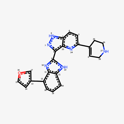 C1=C(c2ccc3[nH]nc(-c4nc5c(-c6ccoc6)cccc5[nH]4)c3n2)CCNC1